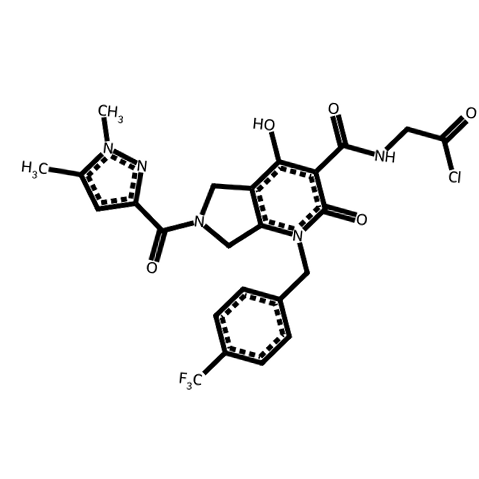 Cc1cc(C(=O)N2Cc3c(O)c(C(=O)NCC(=O)Cl)c(=O)n(Cc4ccc(C(F)(F)F)cc4)c3C2)nn1C